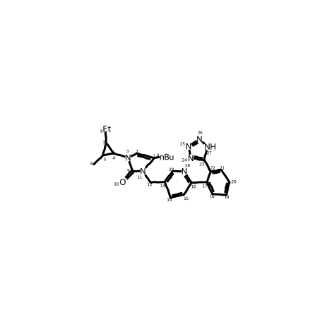 CCCCc1cn(C2C(C)C2CC)c(=O)n1Cc1ccc(-c2ccccc2-c2nnn[nH]2)nc1